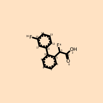 O=C(O)C(F)c1ccccc1-c1cccc(F)c1